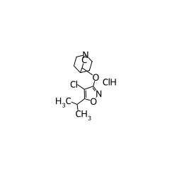 CC(C)c1onc(OC2CN3CCC2CC3)c1Cl.Cl